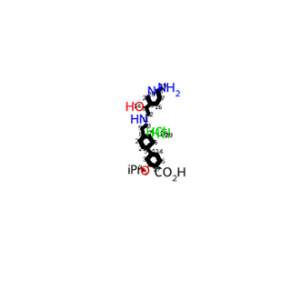 CC(C)Oc1cc(-c2ccc(CCNC[C@H](O)c3ccc(N)nc3)cc2)ccc1C(=O)O.Cl.Cl